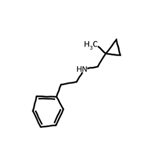 CC1(CNCCc2ccccc2)CC1